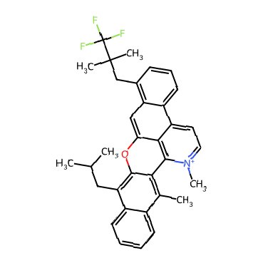 Cc1c2c(c(CC(C)C)c3ccccc13)Oc1cc3c(CC(C)(C)C(F)(F)F)cccc3c3cc[n+](C)c-2c13